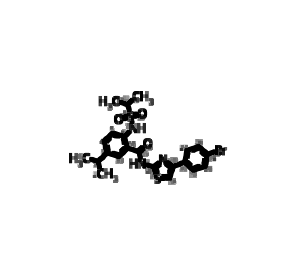 CC(C)c1ccc(NS(=O)(=O)C(C)C)c(C(=O)Nc2nc(-c3ccc(Br)cc3)cs2)c1